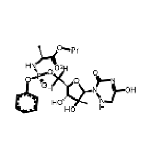 [2H]C([2H])(O[P@@](=O)(N[C@@H](C)C(=O)OC(C)C)Oc1ccccc1)[C@H]1O[C@@H](N2NCC(O)=NC2=O)[C@](C)(O)[C@@H]1O